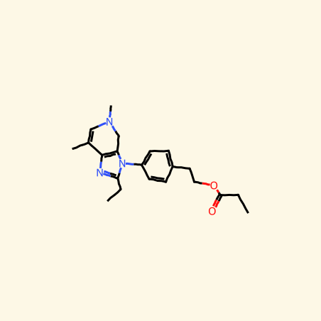 CCC(=O)OCCc1ccc(-n2c(CC)nc3c2CN(C)C=C3C)cc1